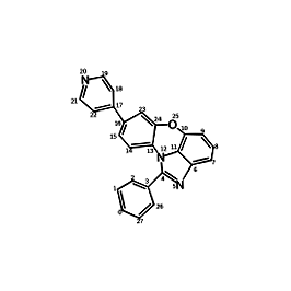 c1ccc(-c2nc3cccc4c3n2-c2ccc(-c3ccncc3)cc2O4)cc1